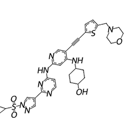 O=S(=O)(C1CC1)n1cc(-c2nccc(Nc3cc(NC4CCC(O)CC4)c(C#Cc4ccc(CN5CCOCC5)s4)cn3)n2)cn1